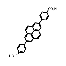 O=C(O)c1ccc(-c2cc3ccc4cc(-c5ccc(C(=O)O)cc5)cc5ccc(c2)c3c45)cc1